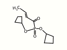 CC=CC(=O)P(=O)(OC1CCC1)OC1CCC1